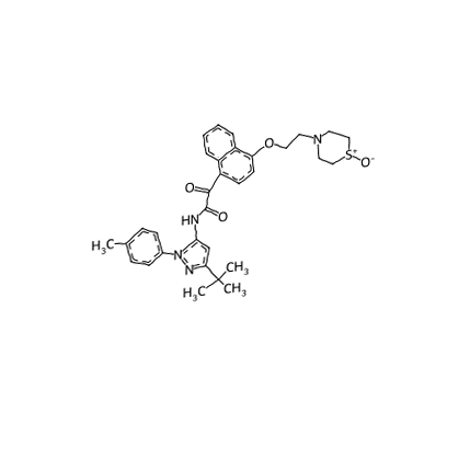 Cc1ccc(-n2nc(C(C)(C)C)cc2NC(=O)C(=O)c2ccc(OCCN3CC[S+]([O-])CC3)c3ccccc23)cc1